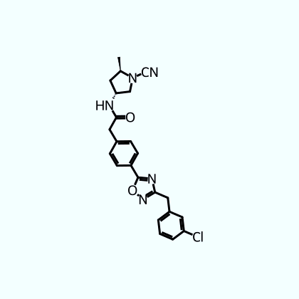 C[C@@H]1C[C@@H](NC(=O)Cc2ccc(-c3nc(Cc4cccc(Cl)c4)no3)cc2)CN1C#N